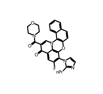 CCCc1nccn1-c1c(F)cc2c(=O)c(C(=O)N3CCOCC3)cn3c2c1Oc1ccc2ccccc2c1-3